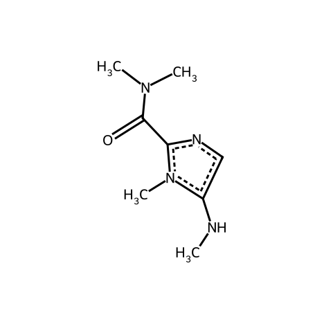 CNc1cnc(C(=O)N(C)C)n1C